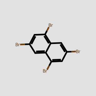 Brc1cc(Br)c2cc(Br)cc(Br)c2c1